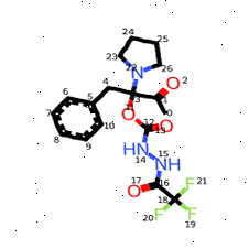 CC(=O)C(Cc1ccccc1)(OC(=O)NNC(=O)C(F)(F)F)N1CCCC1